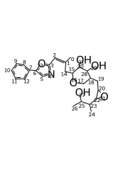 C/C(=C/c1ncc(-c2ccccc2)o1)CC1OCC(CC2OC2C(C)C(C)O)C(O)C1O